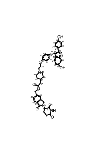 O=C1CCC(N2Cc3cc(COC(=O)CC4CCN(CCOc5ccc(Oc6c(-c7ccc(O)cc7)sc7cc(O)ccc67)cc5)CC4)ccc3C2=O)C(=O)N1